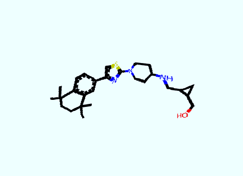 CC1(C)CCC(C)(C)c2cc(-c3csc(N4CCC(NCC5CC5CO)CC4)n3)ccc21